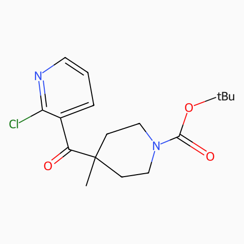 CC(C)(C)OC(=O)N1CCC(C)(C(=O)c2cccnc2Cl)CC1